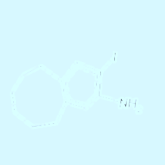 Nc1cc2c(cc1I)CCCCCC2